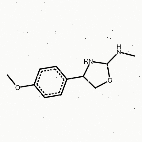 CNC1NC(c2ccc(OC)cc2)CO1